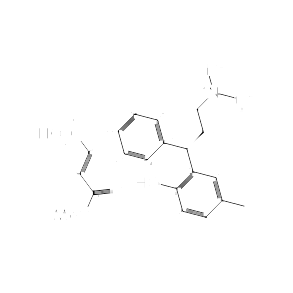 COC(=O)/C=C/C(=O)O.Cc1ccc(O)c([C@H](CCN(C(C)C)C(C)C)c2ccccc2)c1